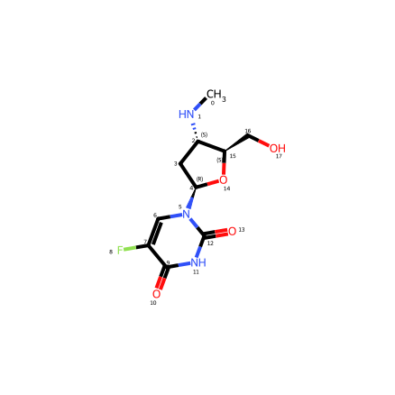 CN[C@H]1C[C@H](n2cc(F)c(=O)[nH]c2=O)O[C@@H]1CO